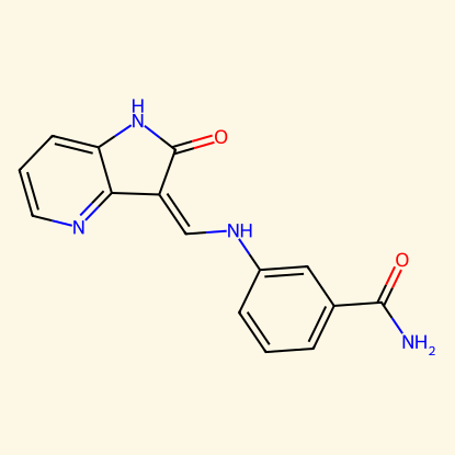 NC(=O)c1cccc(NC=C2C(=O)Nc3cccnc32)c1